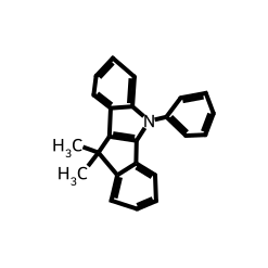 CC1(C)c2ccccc2-c2c1c1ccccc1n2-c1ccccc1